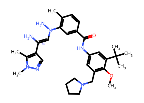 COc1c(CN2CCCC2)cc(NC(=O)c2ccc(C)c(N(N)/C=C(\N)c3cnn(C)c3C)c2)cc1C(C)(C)C